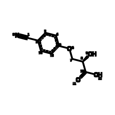 N#Cc1ccc(OC[C@@H](O)C(=O)O)cc1